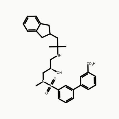 CN(C[C@H](O)CNC(C)(C)CC1Cc2ccccc2C1)S(=O)(=O)c1cccc(-c2cccc(C(=O)O)c2)c1